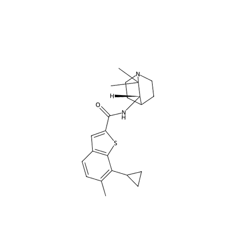 Cc1ccc2cc(C(=O)N[C@H]3C4CCN(CC4)C3(C)C)sc2c1C1CC1